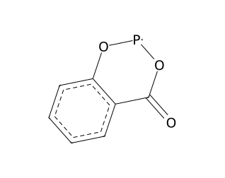 O=C1O[P]Oc2ccccc21